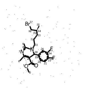 COC(=O)C1=C(C)N=C(C)N(CCC[C@H](C)CBr)C1c1ccc(F)c(F)c1